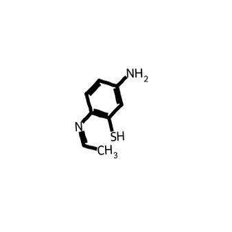 C/C=N\c1ccc(N)cc1S